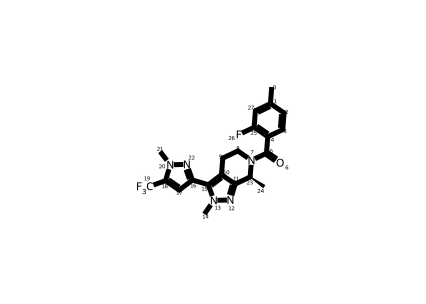 Cc1ccc(C(=O)N2CCc3c(nn(C)c3-c3cc(C(F)(F)F)n(C)n3)[C@@H]2C)c(F)c1